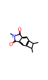 CC1c2cc3c(cc2C1C)C(=O)N(C)C3=O